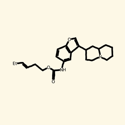 CCC=CCCOC(=O)Nc1ccc2occ(C3CCN4CCCCC4C3)c2c1